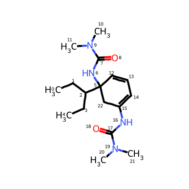 CCC(CC)C1(NC(=O)N(C)C)C=CC=C(NC(=O)N(C)C)C1